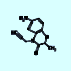 C#CCN1C(=O)C(C)Oc2ccc([N+](=O)[O-])cc21